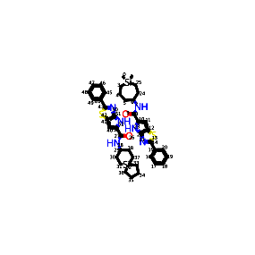 C[Si]1(C)CCCC(NC(=O)c2cc3sc(-c4ccccc4)nc3[nH]2)CC1.O=C(NC1CC[Si]2(CCCC2)CC1)c1cc2sc(-c3ccccc3)nc2[nH]1